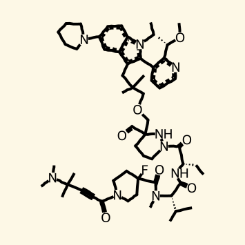 CC[C@H](NC(=O)[C@H](C(C)C)N(C)C(=O)C1(F)CCN(C(=O)C#CC(C)(C)N(C)C)CC1)C(=O)N1CCCC(C=O)(COCC(C)(C)Cc2c(-c3cccnc3[C@H](C)OC)n(CC)c3ccc(N4CCCCC4)cc23)N1